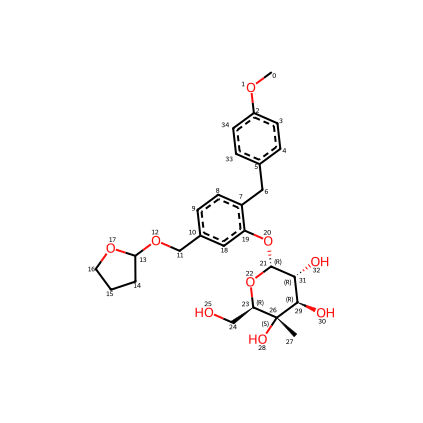 COc1ccc(Cc2ccc(COC3CCCO3)cc2O[C@H]2O[C@H](CO)[C@@](C)(O)[C@H](O)[C@H]2O)cc1